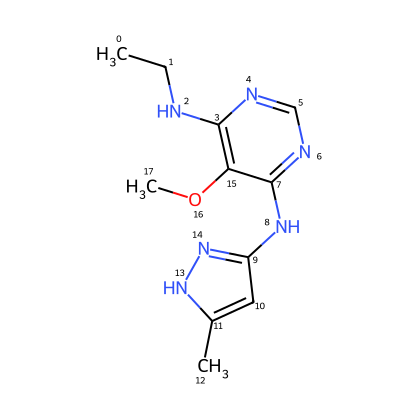 CCNc1ncnc(Nc2cc(C)[nH]n2)c1OC